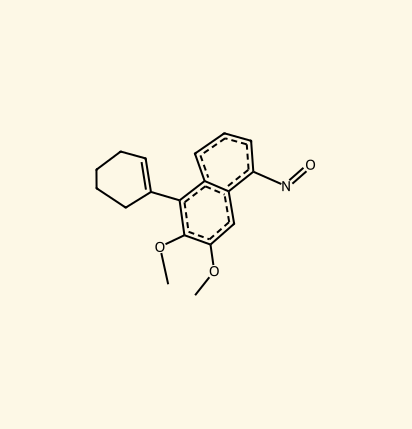 COc1cc2c(N=O)cccc2c(C2=CCCCC2)c1OC